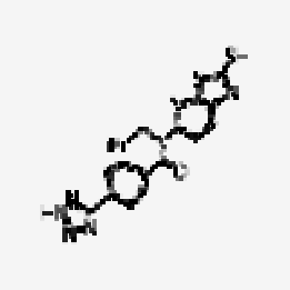 CC(C)CN(C(=O)c1ccc(-c2nn[nH]n2)cc1)c1ccc2nc(S)sc2n1